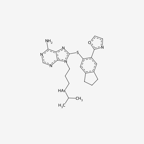 CC(C)[AsH]CCCn1c(Sc2cc3c(cc2-c2ncco2)CCC3)nc2c(N)ncnc21